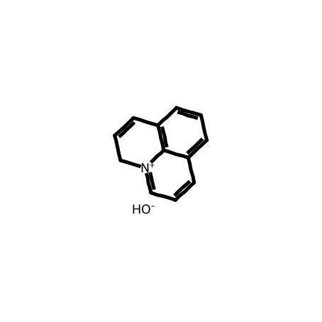 C1=Cc2cccc3ccc[n+](c23)C1.[OH-]